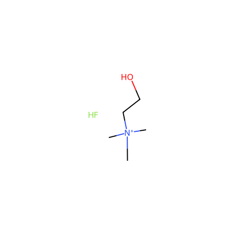 C[N+](C)(C)CCO.F